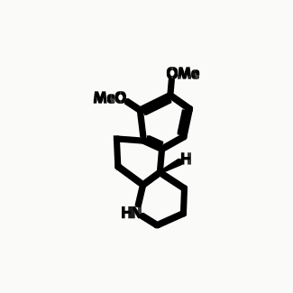 COc1ccc2c(c1OC)CCC1NCCC[C@@H]21